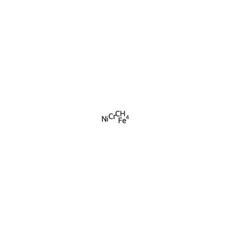 C.[Cr].[Fe].[Ni]